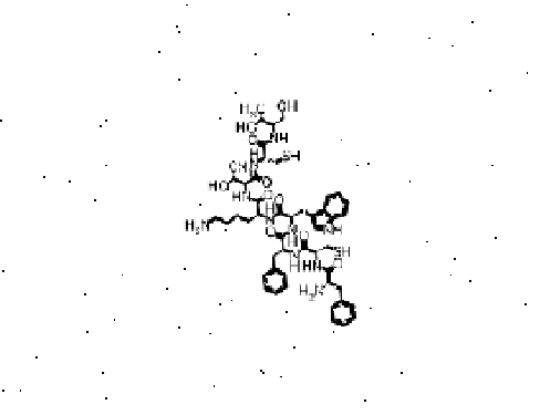 C[C@@H](O)[C@H](NC(=O)[C@H](CCCCN)NC(=O)[C@@H](Cc1c[nH]c2ccccc12)NC(=O)[C@H](Cc1ccccc1)NC(=O)[C@H](CS)NC(=O)[C@@H](N)Cc1ccccc1)C(=O)N[C@@H](CS)C(=O)N[C@H](CO)[C@@H](C)O